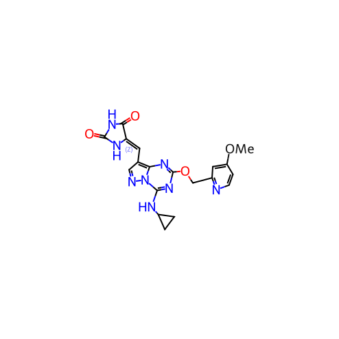 COc1ccnc(COc2nc(NC3CC3)n3ncc(/C=C4\NC(=O)NC4=O)c3n2)c1